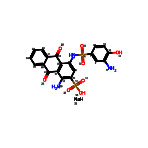 Nc1cc(S(=O)(=O)Nc2cc(S(=O)(=O)O)c(N)c3c2C(=O)c2ccccc2C3=O)ccc1O.[NaH]